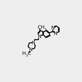 Cc1cn(CCN2CCN(C)CC2)c2ccc(-c3ncccn3)cc12